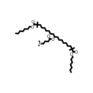 CCCCCCCOC(=O)C(C)(C)CCCCCCCC(CCCCCCCC(C)(C)C(=O)OCCCCCCC)OC(=O)CCCN(C)C